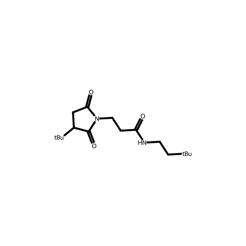 CC(C)(C)CCNC(=O)CCN1C(=O)CC(C(C)(C)C)C1=O